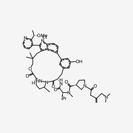 C=C(CC(=O)N1CC[C@H](C(=O)N(C)[C@H](C(=O)N[C@H]2Cc3cc(O)cc(c3)-c3ccc4c(c3)c(c(-c3cccnc3[C@H](C)OC)n4CC)CC(C)(C)COC(=O)[C@@H]3CCC(C)N(N3)C2=O)C(C)C)C1)CN(C)C